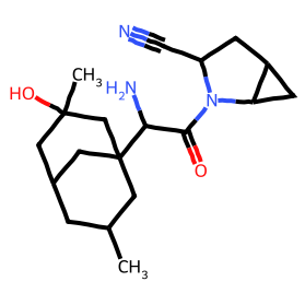 CC1CC2CC(C)(O)CC(C(N)C(=O)N3C(C#N)CC4CC43)(C1)C2